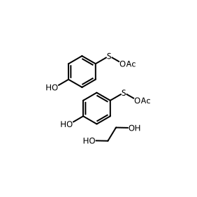 CC(=O)OSc1ccc(O)cc1.CC(=O)OSc1ccc(O)cc1.OCCO